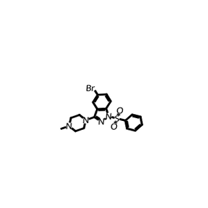 CN1CCN(c2nn(S(=O)(=O)c3ccccc3)c3ccc(Br)cc23)CC1